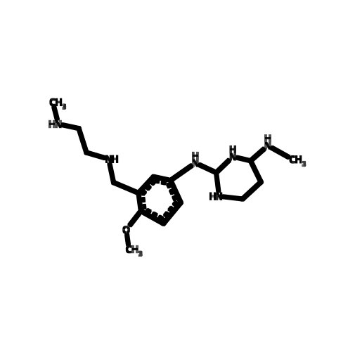 CNCCNCc1cc(NC2NCCC(NC)N2)ccc1OC